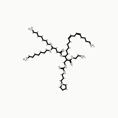 CCCCC/C=C\C/C=C\CCCCCC(OC(=O)CCC(OCCCCCCCC)OCCCCCCCC)C(COC(=O)OCCCN1CCCC1)C(=O)OCCC